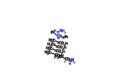 CC(=O)O.CC(=O)O.CC(=O)O.CC(=O)O.CC(=O)O.CC(C)NC(C)C.N.N